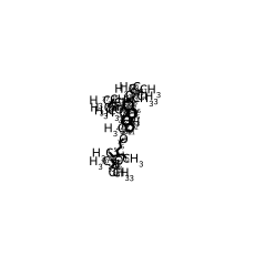 CCC(CC)(CCCOC[C@H]1CC[C@H]2[C@@H]3CC=C4C[C@@H](O[Si](C)(C)C(C)(C)C)C[C@H](O[Si](C)(C)C(C)(C)C)[C@]4(C)[C@H]3CC[C@]12C)O[Si](CC)(CC)CC